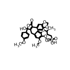 COc1ccc(C2(O)OC(=O)C(c3ccc4c(c3)OCO4)=C2Cc2cc(OC)c(OC)c(OC(C)CCS(=O)(=O)O)c2)cc1